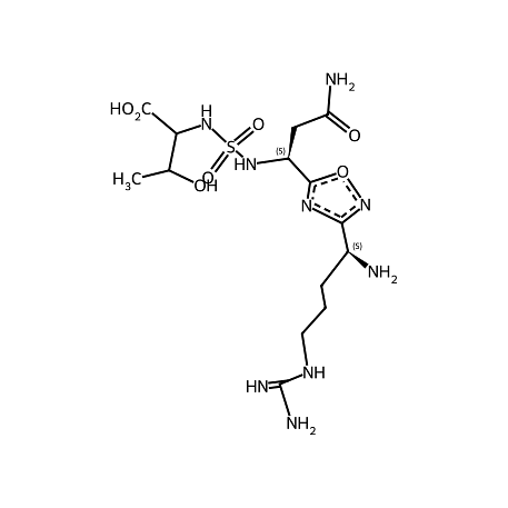 CC(O)C(NS(=O)(=O)N[C@@H](CC(N)=O)c1nc([C@@H](N)CCCNC(=N)N)no1)C(=O)O